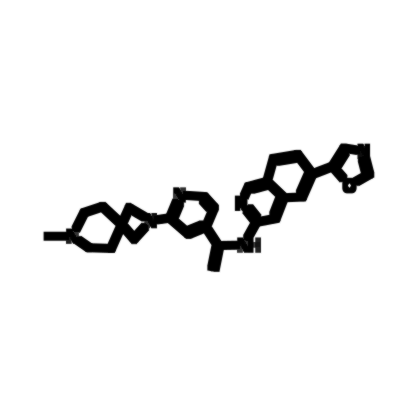 C=C(Nc1cc2cc(-c3cnco3)ccc2cn1)c1ccnc(N2CC3(CCN(C)CC3)C2)c1